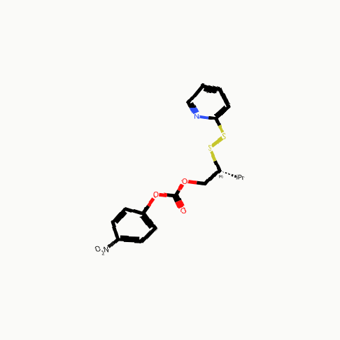 CC(C)[C@H](COC(=O)Oc1ccc([N+](=O)[O-])cc1)SSc1ccccn1